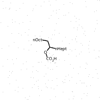 CCCCCCCCCC(CCCCCCC)OC(=O)O